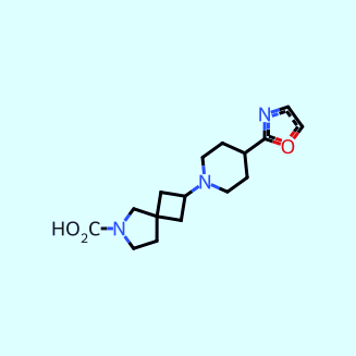 O=C(O)N1CCC2(CC(N3CCC(c4ncco4)CC3)C2)C1